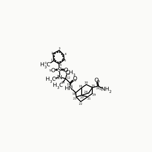 Cc1ccccc1S(=O)(=O)N(C)C(C)(C)C(=O)NC1C2CC3CC1CC(C(N)=O)(C3)C2